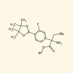 CC(C)OC(=O)C(N)(CC(C)(C)C)c1ccc(B2OC(C)(C)C(C)(C)O2)c(F)c1